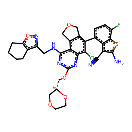 N#Cc1c(N)sc2c(F)ccc(-c3c4c(c5c(NCc6noc7c6CCCC7)nc(OC[C@H]6COCCO6)nc5c3Cl)COC4)c12